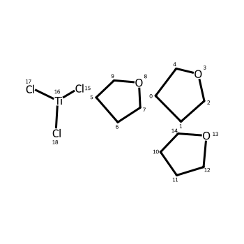 C1CCOC1.C1CCOC1.C1CCOC1.[Cl][Ti]([Cl])[Cl]